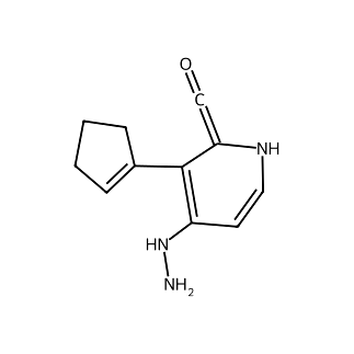 NNC1=C(C2=CCCC2)C(=C=O)NC=C1